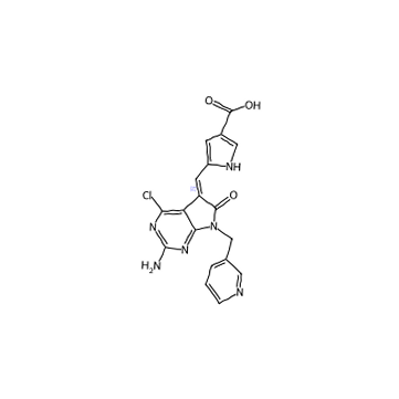 Nc1nc(Cl)c2c(n1)N(Cc1cccnc1)C(=O)/C2=C\c1cc(C(=O)O)c[nH]1